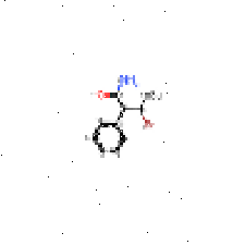 CCCCC(Br)C(C(N)=O)c1ccccc1